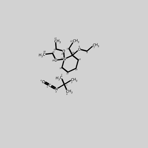 CC(C)(C)N=C=O.CCOC1(CC)CCCC[Si]1(OCC)OCC